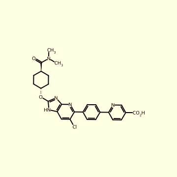 CN(C)C(=O)[C@H]1CC[C@H](Oc2nc3nc(-c4ccc(-c5ccc(C(=O)O)cn5)cc4)c(Cl)cc3[nH]2)CC1